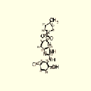 CC1CCN(S(=O)(=O)c2ccc3nc(Nc4cc(Cl)ccc4O)[nH]c3n2)CC1